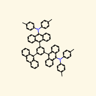 Cc1ccc(N(c2ccc(C)cc2)c2c3ccccc3c(-c3cc(-c4c5ccccc5cc5ccccc45)cc(-c4c5ccccc5c(N(c5ccc(C)cc5)c5ccc(C)cc5)c5ccccc45)c3)c3ccccc23)cc1